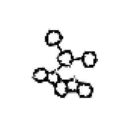 c1ccc(-c2cc(-c3ccccc3)nc(-n3c4ccncc4c4ccc5c6ccccc6sc5c43)n2)cc1